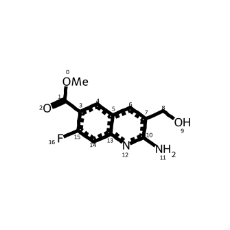 COC(=O)c1cc2cc(CO)c(N)nc2cc1F